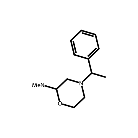 CNC1CN(C(C)c2ccccc2)CCO1